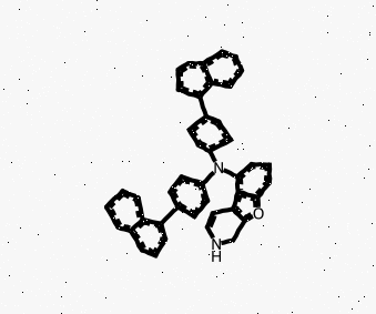 C1=Cc2c(oc3cccc(N(c4ccc(-c5cccc6ccccc56)cc4)c4ccc(-c5cccc6ccccc56)cc4)c23)CN1